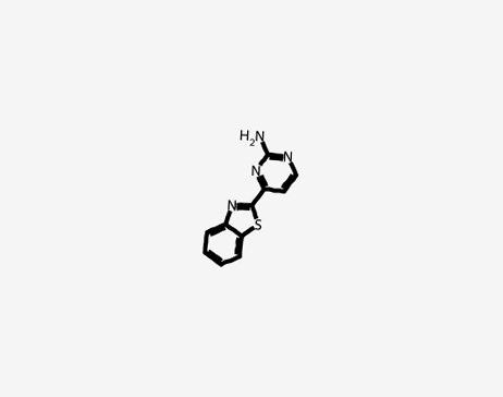 Nc1nccc(-c2nc3ccccc3s2)n1